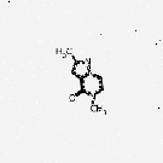 Cc1cc2c(=O)n(C)ccn2n1